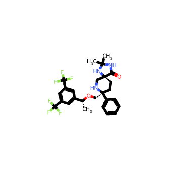 C[C@@H](OC[C@@]1(c2ccccc2)CC[C@@]2(CN1)NC(C)(C)NC2=O)c1cc(C(F)(F)F)cc(C(F)(F)F)c1